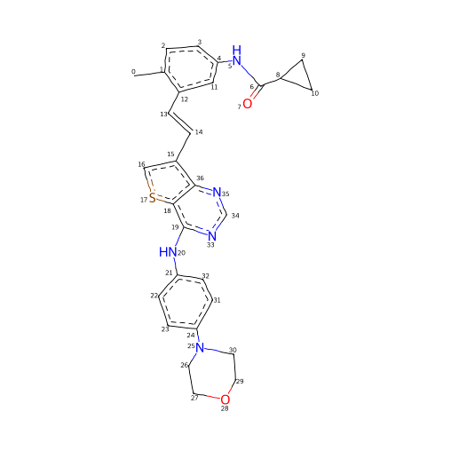 Cc1ccc(NC(=O)C2CC2)cc1/C=C/c1csc2c(Nc3ccc(N4CCOCC4)cc3)ncnc12